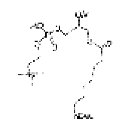 CCCCCCCCCCCCCCCCC(=O)OCC(COP(=O)(O)OCC[N+](C)(C)C)OC(C)=O